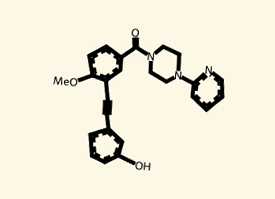 COc1ccc(C(=O)N2CCN(c3ccccn3)CC2)cc1C#Cc1cccc(O)c1